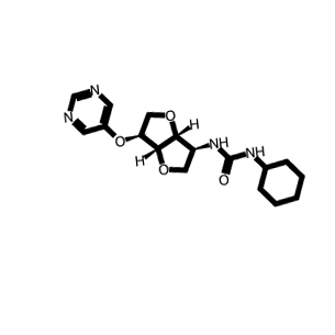 O=C(NC1CCCCC1)N[C@H]1CO[C@H]2[C@@H]1OC[C@@H]2Oc1cncnc1